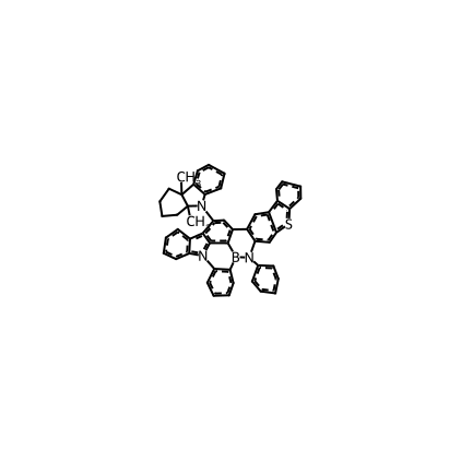 CC12CCCCC1(C)N(c1cc3c4c5c1c1ccccc1n5-c1ccccc1B4N(c1ccccc1)c1cc4sc5ccccc5c4cc1-3)c1ccccc12